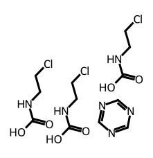 O=C(O)NCCCl.O=C(O)NCCCl.O=C(O)NCCCl.c1ncncn1